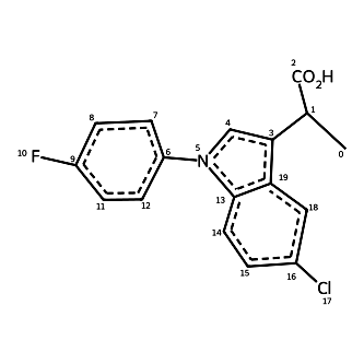 CC(C(=O)O)c1cn(-c2ccc(F)cc2)c2ccc(Cl)cc12